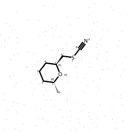 C[C@@H]1CCC[C@@H](CSC#N)O1